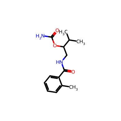 Cc1ccccc1C(=O)NCC(OC(N)=O)C(C)C